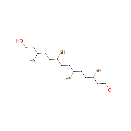 OCCC(S)CCC(S)CCC(S)CCC(S)CCO